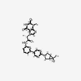 C[C@@H](C(=O)Nc1cccc(-c2cnc(N3CC4C(C3)C4(F)F)nc2)n1)n1cnc2c1c(=O)[nH]c(=O)n2C